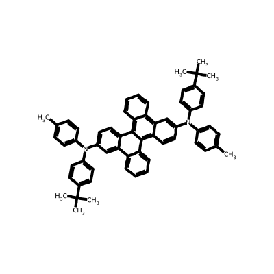 Cc1ccc(N(c2ccc(C(C)(C)C)cc2)c2ccc3c(c2)c2ccccc2c2c4ccc(N(c5ccc(C)cc5)c5ccc(C(C)(C)C)cc5)cc4c4ccccc4c32)cc1